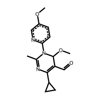 COc1ccc(N2C(C)=NC(C3CC3)=C(C=O)C2OC)nc1